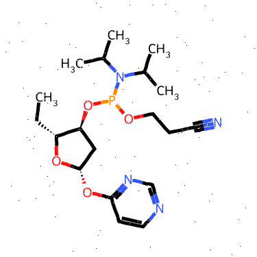 CC[C@H]1O[C@@H](Oc2ccncn2)C[C@@H]1OP(OCCC#N)N(C(C)C)C(C)C